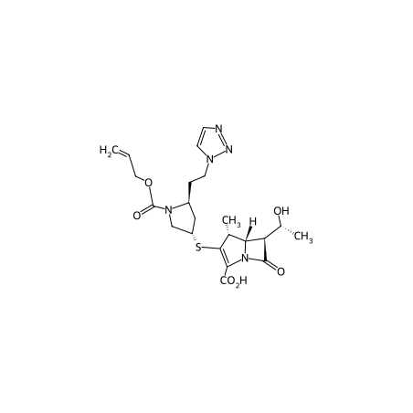 C=CCOC(=O)N1C[C@@H](SC2=C(C(=O)O)N3C(=O)[C@H]([C@@H](C)O)[C@H]3[C@H]2C)C[C@@H]1CCn1ccnn1